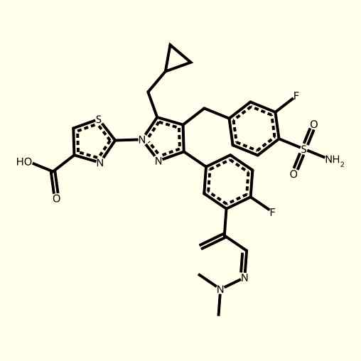 C=C(/C=N\N(C)C)c1cc(-c2nn(-c3nc(C(=O)O)cs3)c(CC3CC3)c2Cc2ccc(S(N)(=O)=O)c(F)c2)ccc1F